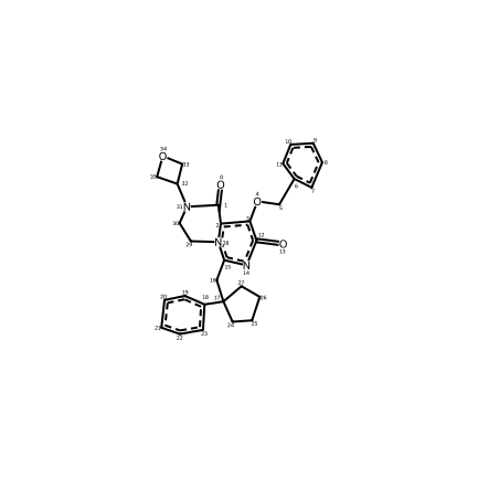 O=C1c2c(OCc3ccccc3)c(=O)nc(CC3(c4ccccc4)CCCC3)n2CCN1C1COC1